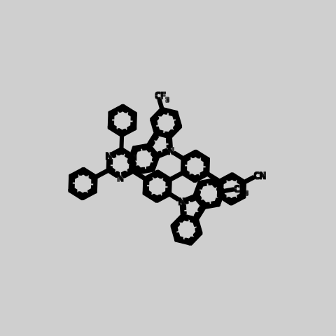 N#Cc1cccc(-c2ccc(-n3c4ccccc4c4cc(C(F)(F)F)ccc43)c(-c3cc(-c4nc(-c5ccccc5)nc(-c5ccccc5)n4)ccc3-n3c4ccccc4c4cc(C(F)(F)F)ccc43)c2)c1